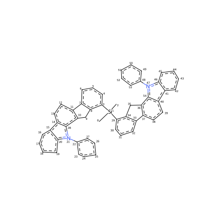 C[Si](C)(c1cccc2c1Cc1c-2ccc2c3ccccc3n(-c3ccccc3)c12)c1cccc2c1Cc1c-2ccc2c3ccccc3n(-c3ccccc3)c12